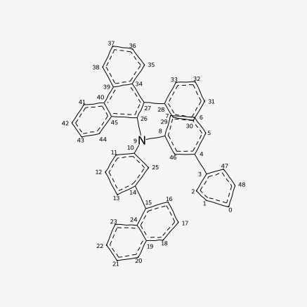 c1ccc(-c2cccc(N(c3cccc(-c4cccc5ccccc45)c3)c3c(-c4ccccc4)c4ccccc4c4ccccc34)c2)cc1